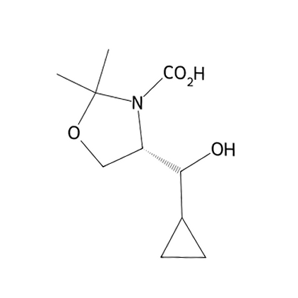 CC1(C)OC[C@@H](C(O)C2CC2)N1C(=O)O